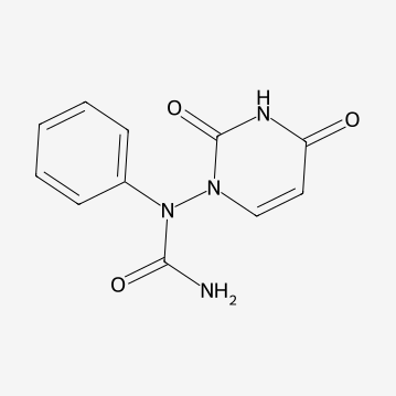 NC(=O)N(c1ccccc1)n1ccc(=O)[nH]c1=O